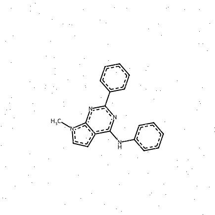 Cn1ccc2c(Nc3ccccc3)nc(-c3ccccc3)nc21